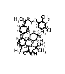 Cc1cc(Cl)ccc1OCCN(C)c1ccc(-c2cnc(C)c([C@H](OC(C)(C)C)C(=O)O)c2N2CCC(C)(C)CC2)cn1